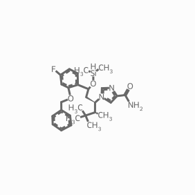 C[C@H]([C@@H](CC(O[SiH](C)C)c1ccc(F)cc1OCc1ccccc1)n1cnc(C(N)=O)c1)C(C)(C)C